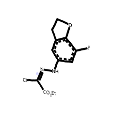 CCOC(=O)/C(Cl)=N\Nc1cc(F)c2c(c1)CCO2